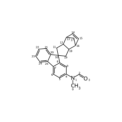 CN(C=O)c1ccc2c(c1)C1(CC3C4C=CC(C4)C3C1)c1ccccc1-2